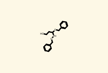 OCCC(OCc1ccccc1)POCc1ccccc1